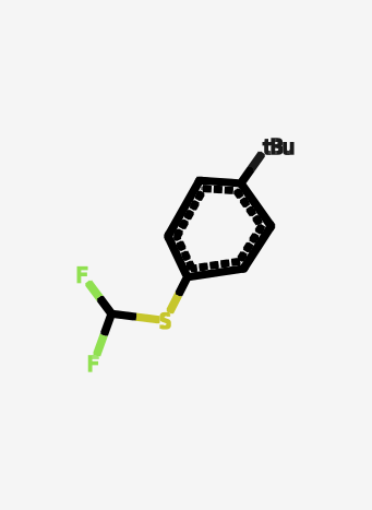 CC(C)(C)c1ccc(SC(F)F)cc1